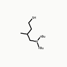 CCCCN(CCCC)CC(C)CCS